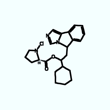 O=C(OC(CC1c2ccccc2-c2cncn21)C1CCCCC1)[C@@H]1CCCN1Cl